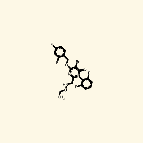 CCONCc1nc(OCc2ccc(F)cc2F)c(Br)c(=O)n1-c1c(F)cccc1F